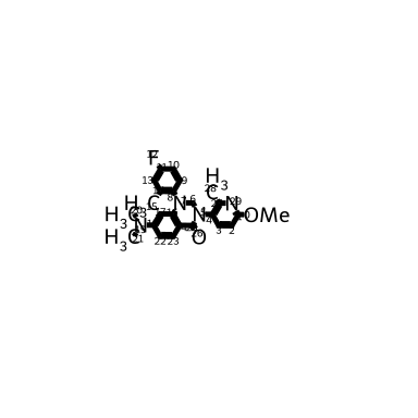 COc1ccc(N2CN(c3ccc(F)cc3C)c3cc(N(C)C)ccc3C2=O)c(C)n1